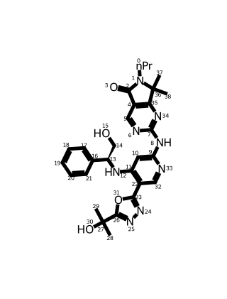 CCCN1C(=O)c2cnc(Nc3cc(N[C@H](CO)c4ccccc4)c(-c4nnc(C(C)(C)O)o4)cn3)nc2C1(C)C